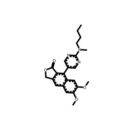 CCCCN(C)c1ncc(-c2c3c(cc4cc(OC)c(OC)cc24)COC3=O)cn1